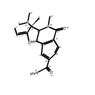 C/C=C(/OC)[C@@](C)(C1Cc2cc(C(=O)NC)ccc2C(=O)N1C)N(C)C